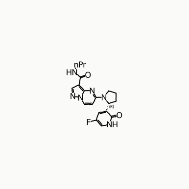 CCCNC(=O)c1cnn2ccc(N3CCC[C@@H]3c3cc(F)c[nH]c3=O)nc12